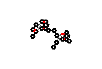 CC1(C)c2ccccc2C2(c3ccccc3Sc3c(N(c4ccc(-c5ccccc5)cc4)c4ccc(-c5cccc(-c6ccc7ccc8c(c7c6)C(C)(C)c6ccccc6C86c7ccccc7Sc7c(N(c8ccc(-c9ccccc9)cc8)c8ccccc8-c8ccccc8)cccc76)c5)cc4)cccc32)c2ccc3ccccc3c21